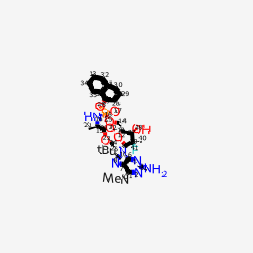 CNc1nc(N)nc2c1ncn2[C@@H]1O[C@H](CO[P@](=O)(N[C@H](C)C(=O)OCC(C)(C)C)Oc2cccc3ccccc23)[C@@H](O)[C@@]1(C)F